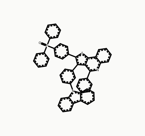 O=P(c1ccccc1)(c1ccccc1)c1ccc(-c2sc3c(c(-c4ccccc4)nc4ccccc43)c2-c2cccc(-n3c4ccccc4c4ccccc43)c2)cc1